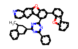 CC1CC(c2nc(-c3ccccc3)nc(-c3cc(-c4cccc5c4oc4ccccc45)cc4oc5cc6cnccc6cc5c34)n2)=Cc2ccccc21